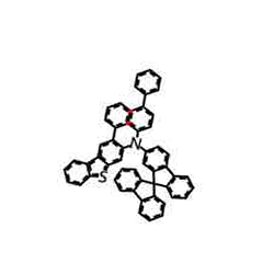 c1ccc(-c2ccc(N(c3ccc4c(c3)C3(c5ccccc5-c5ccccc53)c3ccccc3-4)c3cc4sc5ccccc5c4cc3-c3ccccc3)cc2)cc1